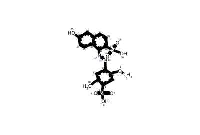 COc1cc(S(=O)(=O)O)c(C)cc1/N=N/c1c(S(=O)(=O)O)ccc2cc(O)ccc12